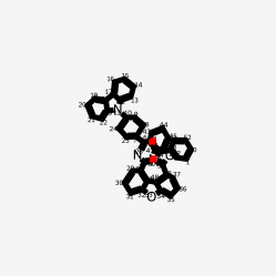 c1ccc(-c2nc(-c3ccc(-n4c5ccccc5c5ccccc54)cc3)nc(-c3cccc4oc5cccc(-c6nc7ccccc7o6)c5c34)n2)cc1